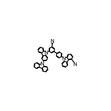 N#Cc1cc(-c2ccc(-n3c4ccccc4c4c(C#N)cccc43)cc2)cc(-n2c3ccccc3c3cc(-n4c5ccccc5c5ccccc54)ccc32)c1